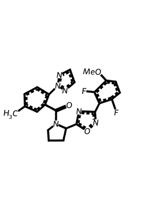 COc1ccc(F)c(-c2noc(C3CCCN3C(=O)c3cc(C)ccc3-n3nccn3)n2)c1F